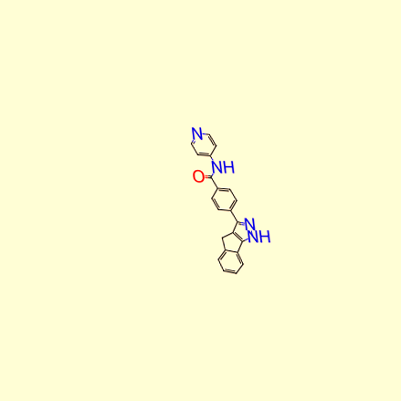 O=C(Nc1ccncc1)c1ccc(-c2n[nH]c3c2Cc2ccccc2-3)cc1